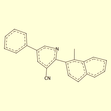 Cc1c(-c2ncc(-c3ccccc3)cc2C#N)ccc2ccccc12